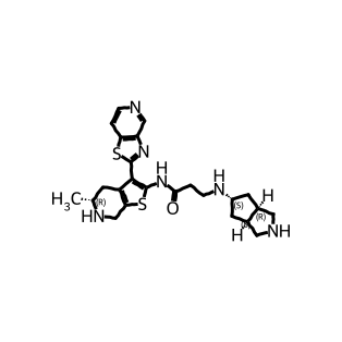 C[C@@H]1Cc2c(sc(NC(=O)CCN[C@@H]3C[C@H]4CNC[C@H]4C3)c2-c2nc3cnccc3s2)CN1